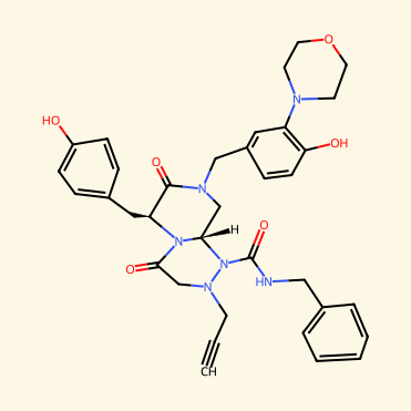 C#CCN1CC(=O)N2[C@@H](Cc3ccc(O)cc3)C(=O)N(Cc3ccc(O)c(N4CCOCC4)c3)C[C@@H]2N1C(=O)NCc1ccccc1